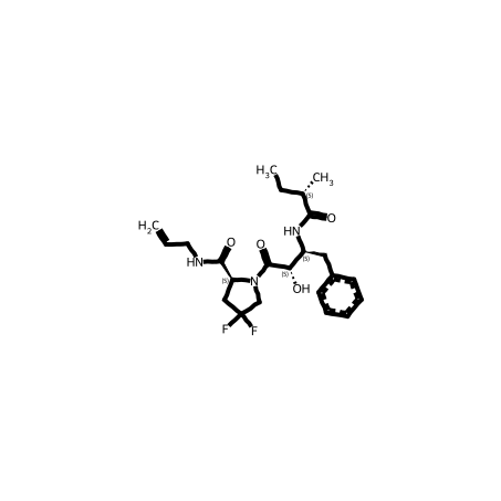 C=CCNC(=O)[C@@H]1CC(F)(F)CN1C(=O)[C@@H](O)[C@H](Cc1ccccc1)NC(=O)[C@@H](C)CC